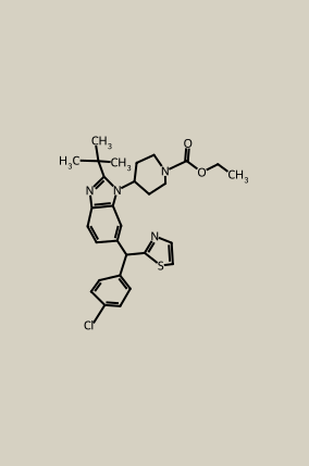 CCOC(=O)N1CCC(n2c(C(C)(C)C)nc3ccc(C(c4ccc(Cl)cc4)c4nccs4)cc32)CC1